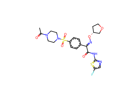 CC(=O)N1CCN(S(=O)(=O)c2ccc(/C(=N\O[C@@H]3CCOC3)C(=O)Nc3ncc(F)s3)cc2)CC1